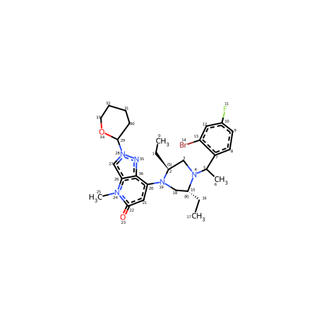 CC[C@H]1CN(C(C)c2ccc(F)cc2Br)[C@H](CC)CN1c1cc(=O)n(C)c2cn(C3CCCCO3)nc12